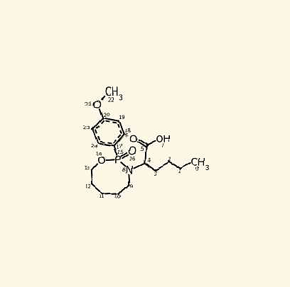 CCCCC(C(=O)O)N1CCCCCOP1(=O)c1ccc(OC)cc1